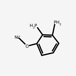 Pc1cccc([O][Ni+])c1P